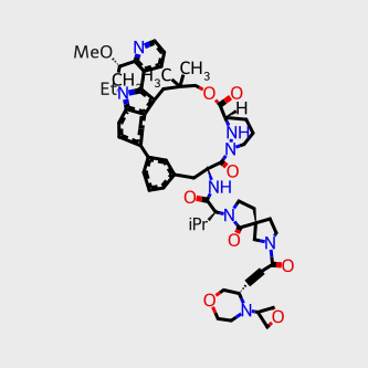 CCn1c(-c2cccnc2[C@H](C)OC)c2c3cc(ccc31)-c1cccc(c1)C[C@H](NC(=O)[C@H](C(C)C)N1CC[C@]3(CCN(C(=O)C#C[C@H]4COCCN4C4COC4)C3)C1=O)C(=O)N1CCC[C@H](N1)C(=O)OCC(C)(C)C2